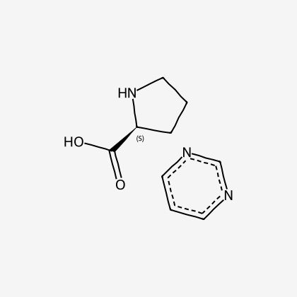 O=C(O)[C@@H]1CCCN1.c1cncnc1